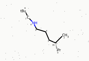 CC(C)[C@@H](C)CCCNCC(C)(C)C